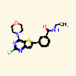 CCNC(=O)c1cccc(-c2cc3nc(Cl)nc(N4CCOCC4)c3s2)c1